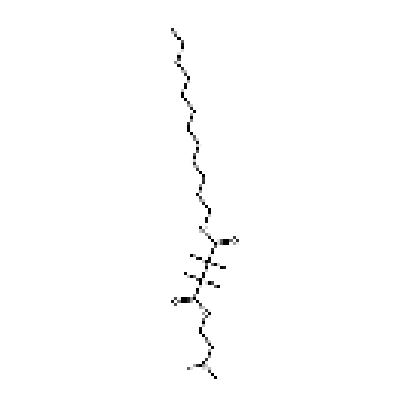 CCCCCCCCCCCCOC(=O)C(C)(C)C(C)(C)C(=O)OCCN(C)C